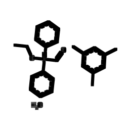 CCO[PH](C=O)(c1ccccc1)c1ccccc1.Cc1cc(C)cc(C)c1.O